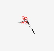 CCCCCCCCCCC[C@@H](O)CC1=C(CCCCCC)C(=O)O1